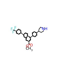 COC(=O)c1cc(-c2ccc(C3CCNCC3)cc2)c2ccc(-c3ccc(C(F)(F)F)cc3)cc2c1